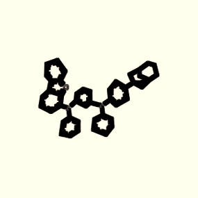 c1ccc(N(c2ccc(C34CC5CCCC(C5)(C3)C4)cc2)c2cccc(N(c3ccccc3)c3cccc4c3oc3ccccc34)c2)cc1